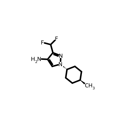 C[C@H]1CC[C@H](n2cc(N)c(C(F)F)n2)CC1